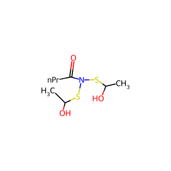 CCCC(=O)N(SC(C)O)SC(C)O